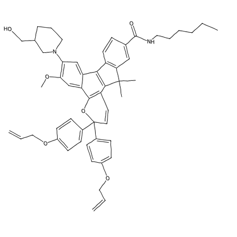 C=CCOc1ccc(C2(c3ccc(OCC=C)cc3)C=Cc3c4c(c5cc(N6CCCC(CO)C6)c(OC)cc5c3O2)-c2ccc(C(=O)NCCCCCC)cc2C4(C)C)cc1